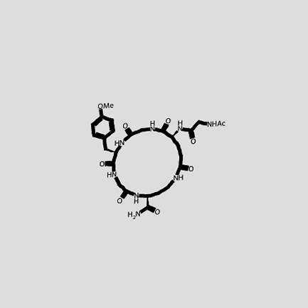 COc1ccc(C[C@H]2NC(=O)CNC(=O)[C@@H](NC(=O)CNC(C)=O)CCC(=O)NCC[C@@H](C(N)=O)NC(=O)CNC2=O)cc1